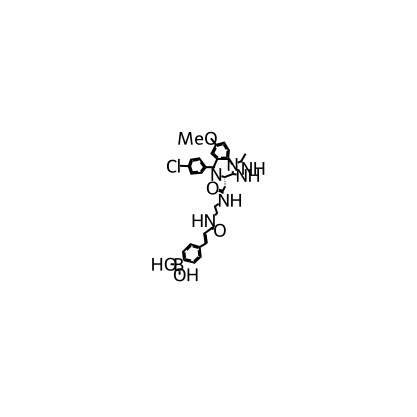 COc1ccc2c(c1)C(c1ccc(Cl)cc1)=N[C@@H](CC(=O)NCCNC(=O)/C=C/c1ccc(B(O)O)cc1)C1NNC(C)N21